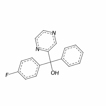 OC(c1ccccc1)(c1ccc(F)cc1)c1cnccn1